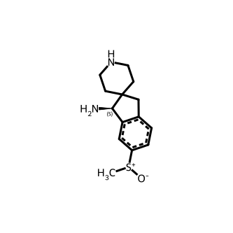 C[S+]([O-])c1ccc2c(c1)[C@@H](N)C1(CCNCC1)C2